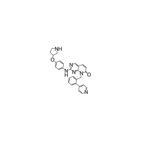 O=c1ccc2cnc(Nc3ccc(OC4CCNC4)cc3)nc2n1Cc1ccccc1-c1ccncc1